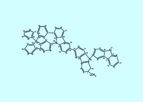 CC1C=Cc2c(n(-c3ccc4oc5ccccc5c4c3)c3ccc(-c4ccc5c(c4)c4ccccc4n5-c4ccc5c(c4)C(c4ccccc4)(c4ccccc4)c4ccccc4-5)cc23)C1